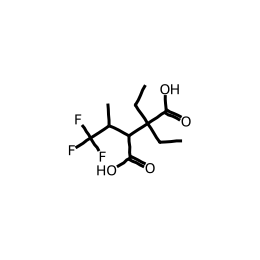 CCC(CC)(C(=O)O)C(C(=O)O)C(C)C(F)(F)F